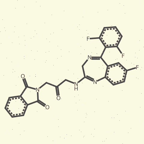 O=C(CNC1=Nc2ccc(F)cc2C(c2c(F)cccc2F)=NC1)CN1C(=O)c2ccccc2C1=O